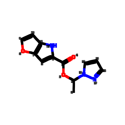 CC(OC(=O)c1cc2occc2[nH]1)n1cccn1